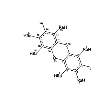 Cc1[c]([RaH])[c]([RaH])c2c([c]1[RaH])Sc1[c]([RaH])c(C)[c]([RaH])[c]([RaH])c1O2